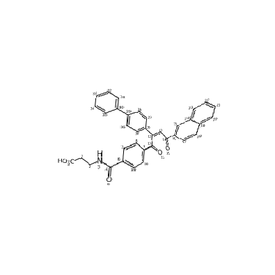 O=C(O)CCNC(=O)c1ccc(C(=O)/C(=C\C(=O)c2ccc3ccccc3c2)c2ccc(-c3ccccc3)cc2)cc1